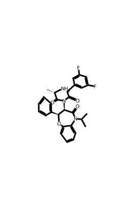 CC(C)N1C(=O)[C@H](N(C(=O)Cc2cc(F)cc(F)c2)C(=O)[C@H](C)N)[C@H](c2ccccc2)Oc2ccccc21